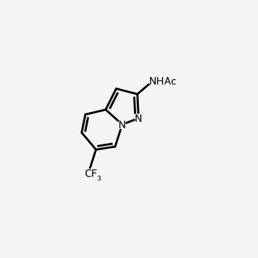 CC(=O)Nc1cc2ccc(C(F)(F)F)cn2n1